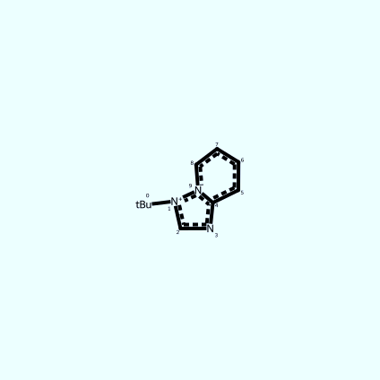 CC(C)(C)[n+]1cnc2ccccn21